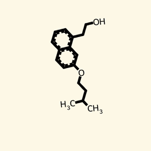 CC(C)CCOc1ccc2cccc(CCO)c2c1